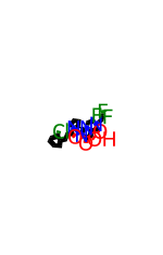 O=C1c2c(O)c(=O)nc([C@@H]3CCCN3C(=O)CCc3ccccc3Cl)n2CCN1CC(F)(F)F